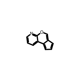 c1cc2coc3ncccc3c-2c1